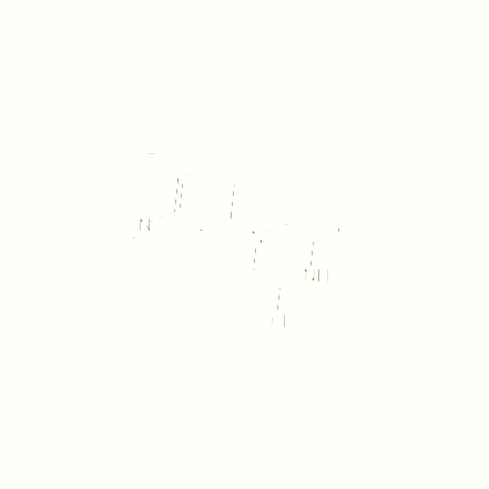 CC1CN(c2ccc(F)c(N)c2)CC(C)N1